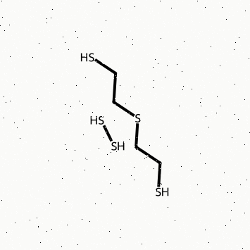 SCCSCCS.SS